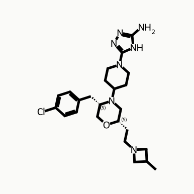 CC1CN(CC[C@H]2CN(C3CCN(c4nnc(N)[nH]4)CC3)[C@@H](Cc3ccc(Cl)cc3)CO2)C1